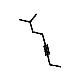 [CH2]CC#CCC[C](C)C